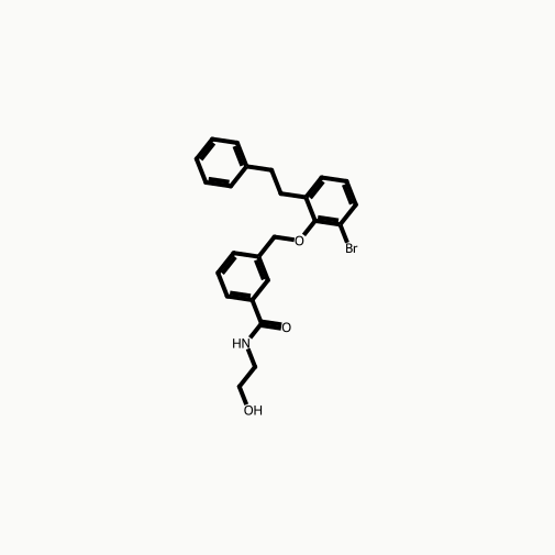 O=C(NCCO)c1cccc(COc2c(Br)cccc2CCc2ccccc2)c1